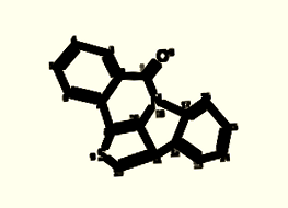 O=c1c2ccccc2c2scc3c4ccccc4n1c32